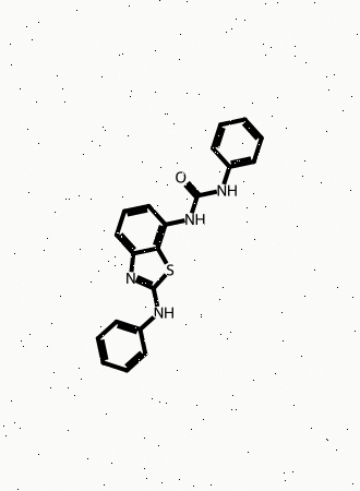 O=C(Nc1ccccc1)Nc1cccc2nc(Nc3ccccc3)sc12